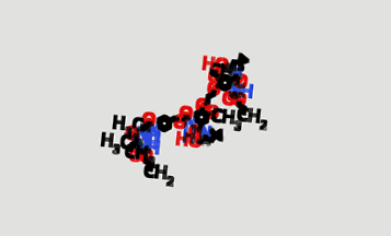 C=CCOC(=O)Nc1cc(OCCCOc2cc(NC(=O)OCc3ccc(NC(=O)[C@H](C)NC(=O)[C@@H](NC(=O)OCC=C)C(C)C)cc3)c(C(=O)N3CC4(CC4)C[C@H]3CO)cc2OC)c(OC)cc1C(=O)N1CC2(CC2)C[C@H]1CO